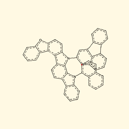 c1ccc2c(c1)-c1cccc3cc(-n4c5ccc6oc7ccccc7c6c5c5ccc6c7ccccc7n(-c7cccc8ccccc78)c6c54)cc-2c13